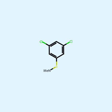 CNSc1cc(Cl)cc(Cl)c1